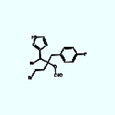 O=COC(CCBr)(Cc1ccc(F)cc1)C(Br)c1cc[nH]c1